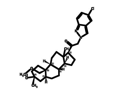 COC[C@]12CC[C@@](C)(O)C[C@@H]1CC[C@H]1[C@@H]3CC[C@H](C(=O)Cn4cc5cc(Cl)ccc5n4)C3(C)CC[C@@H]12